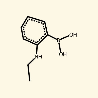 CCNc1ccccc1B(O)O